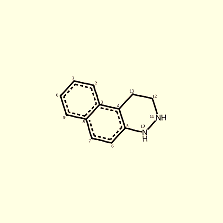 c1ccc2c3c(ccc2c1)NNCC3